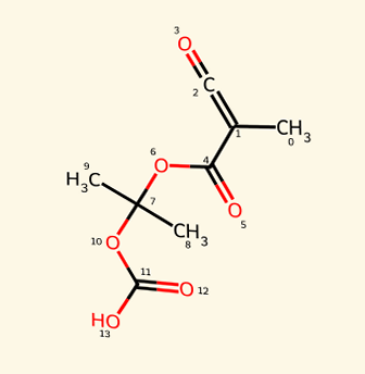 CC(=C=O)C(=O)OC(C)(C)OC(=O)O